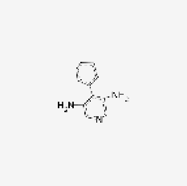 Nc1cncc(N)c1-c1ccccc1